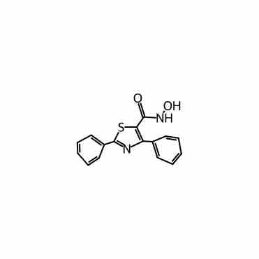 O=C(NO)c1sc(-c2ccccc2)nc1-c1ccccc1